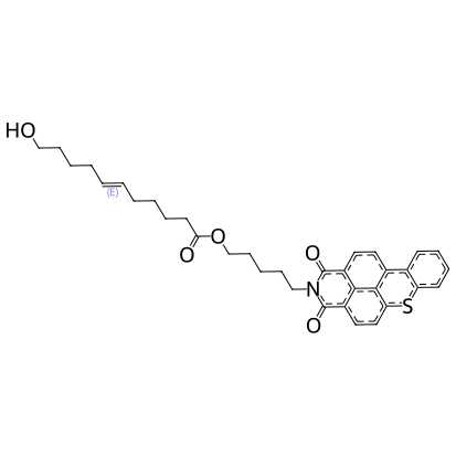 O=C(CCCC/C=C/CCCCO)OCCCCCn1c(=O)c2ccc3sc4ccccc4c4ccc(c1=O)c2c34